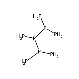 PP(P)P(P)P(P)P